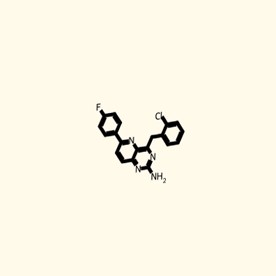 Nc1nc(Cc2ccccc2Cl)c2nc(-c3ccc(F)cc3)ccc2n1